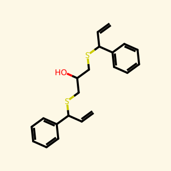 C=CC(SCC(O)CSC(C=C)c1ccccc1)c1ccccc1